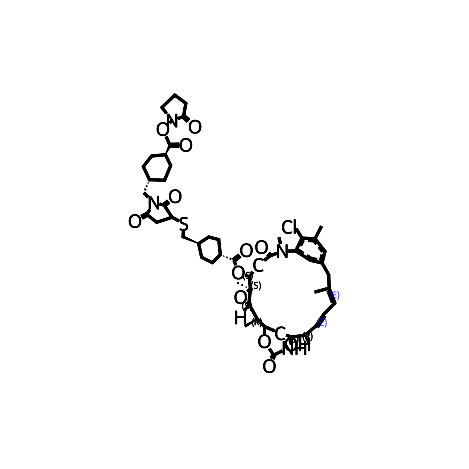 C/C1=C\C=C\[C@@H](C)[C@@]2(O)CC(OC(=O)N2)[C@@H](C)[C@@H]2O[C@@]2(C)[C@@H](OC(=O)[C@H]2CC[C@H](CSC3CC(=O)N(C[C@H]4CC[C@H](C(=O)ON5CCCC5=O)CC4)C3=O)CC2)CC(=O)N(C)c2cc(cc(C)c2Cl)C1